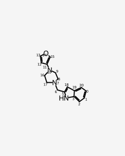 c1ccc2[nH]c(CN3CCN(c4ccoc4)CC3)cc2c1